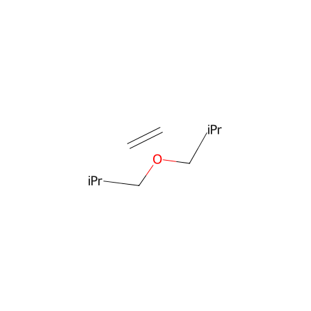 C=C.CC(C)COCC(C)C